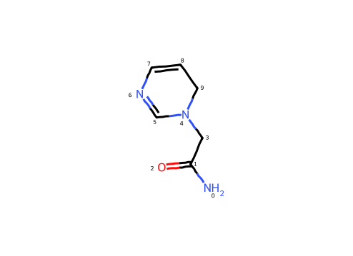 NC(=O)CN1C=NC=CC1